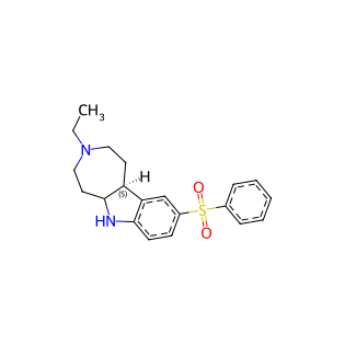 CCN1CCC2Nc3ccc(S(=O)(=O)c4ccccc4)cc3[C@@H]2CC1